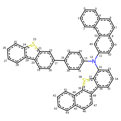 c1ccc2c(c1)ccc1ccc(N(c3ccc(-c4ccc5c(c4)sc4ccccc45)cc3)c3cccc4c3sc3c5ccccc5ccc43)cc12